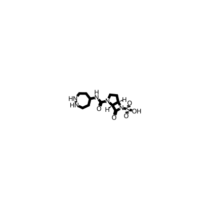 O=C(NC1CCNNCC1)N1CC[C@@H]2[C@H]1C(=O)N2S(=O)(=O)O